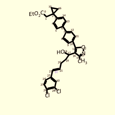 CCOC(=O)CC1(c2ccc(-c3ccc(-c4onc(C)c4C(O)CC/C=C/c4ccc(Cl)c(Cl)c4)cc3)cc2)CC1